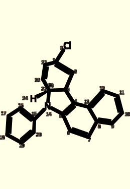 ClC1=CC2c3c(ccc4ccccc34)N(c3ccccc3)[C@@H]2C=C1